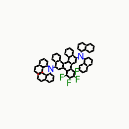 Fc1c(F)c(F)c2c3cc(N(c4cccc5ccccc45)c4cccc5ccccc45)c4ccccc4c3c3c4ccccc4c(N(c4cccc5ccccc45)c4cccc5ccccc45)cc3c2c1F